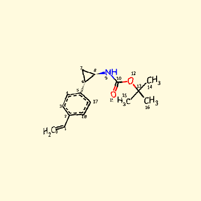 C=Cc1ccc([C@@H]2C[C@H]2NC(=O)OC(C)(C)C)cc1